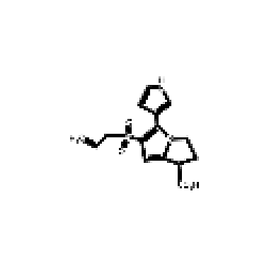 C=CCS(=O)(=O)c1cc2n(c1-c1cc[nH]c1)CCC2C(=O)O